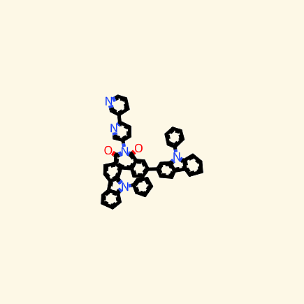 O=c1c2cc(-c3ccc4c5ccccc5n(-c5ccccc5)c4c3)ccc2c2c(ccc3c4ccccc4n(-c4ccccc4)c32)c(=O)n1-c1ccc(-c2cccnc2)nc1